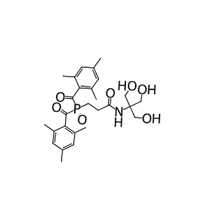 Cc1cc(C)c(C(=O)P(=O)(CCC(=O)NC(CO)(CO)CO)C(=O)c2c(C)cc(C)cc2C)c(C)c1